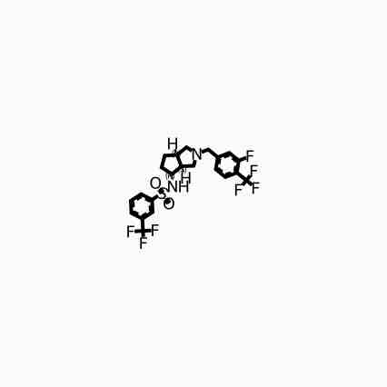 O=S(=O)(N[C@@H]1CC[C@H]2CN(Cc3ccc(C(F)(F)F)c(F)c3)C[C@H]21)c1cccc(C(F)(F)F)c1